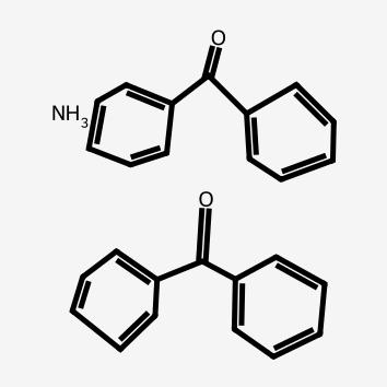 N.O=C(c1ccccc1)c1ccccc1.O=C(c1ccccc1)c1ccccc1